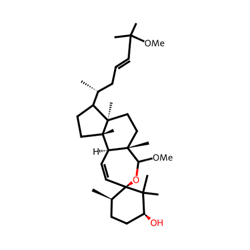 COC1O[C@]2(C=C[C@H]3[C@]4(C)CCC([C@H](C)C/C=C/C(C)(C)OC)[C@@]4(C)CC[C@]13C)[C@H](C)CC[C@H](O)C2(C)C